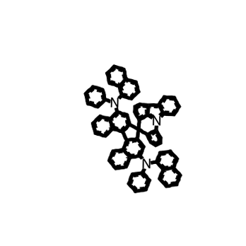 c1ccc(N(c2cccc3ccccc23)c2cc3c(c4ccccc24)-c2c(cc(N(c4ccccc4)c4cccc5ccccc45)c4ccccc24)C32c3ccccc3-n3c4ccccc4c4cccc2c43)cc1